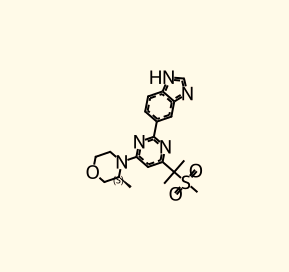 C[C@H]1COCCN1c1cc(C(C)(C)S(C)(=O)=O)nc(-c2ccc3[nH]cnc3c2)n1